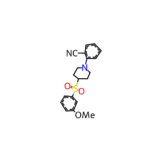 COc1cccc(S(=O)(=O)C2CCN(c3ccccc3C#N)CC2)c1